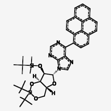 CC(C)(C)[Si](C)(C)O[C@@H]1[C@@H]2O[Si](C(C)(C)C)(C(C)(C)C)OC[C@H]2O[C@H]1n1cnc2c(-c3ccc4ccc5cccc6ccc3c4c56)ncnc21